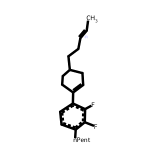 C/C=C/CCC1CC=C(c2ccc(CCCCC)c(F)c2F)CC1